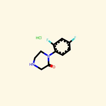 Cl.O=C1CNCCN1c1ccc(F)cc1F